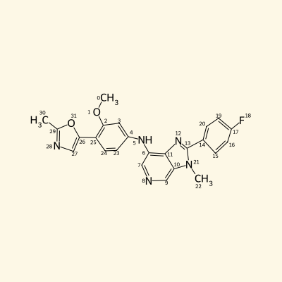 COc1cc(Nc2cncc3c2nc(-c2ccc(F)cc2)n3C)ccc1-c1cnc(C)o1